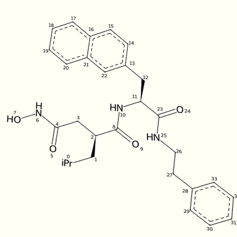 CC(C)C[C@@H](CC(=O)NO)C(=O)N[C@@H](Cc1ccc2ccccc2c1)C(=O)NCCc1ccccc1